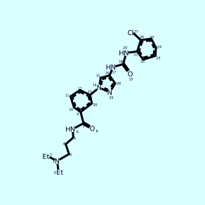 CCN(CC)CCCNC(=O)c1cccc(-n2cc(NC(=O)Nc3ccccc3Cl)cn2)c1